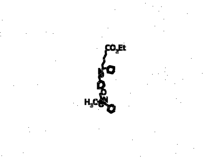 CCOC(=O)CCCCCC(=NOCc1ccc(OCc2nc(-c3ccccc3)oc2C)cc1)c1ccccc1